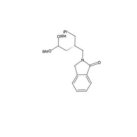 COC(C[C@H](CC(C)C)CN1Cc2ccccc2C1=O)OC